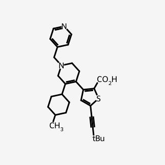 CC1CCC(C2=C(c3cc(C#CC(C)(C)C)sc3C(=O)O)CCN(Cc3ccncc3)C2)CC1